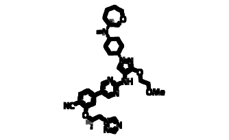 COCCOc1nn([C@H]2CC[C@H](N(C)[C@@H]3CCCCOC3)CC2)cc1Nc1ncc(-c2ccc(C#N)c(O[C@@H](C)Cn3cncn3)c2)cn1